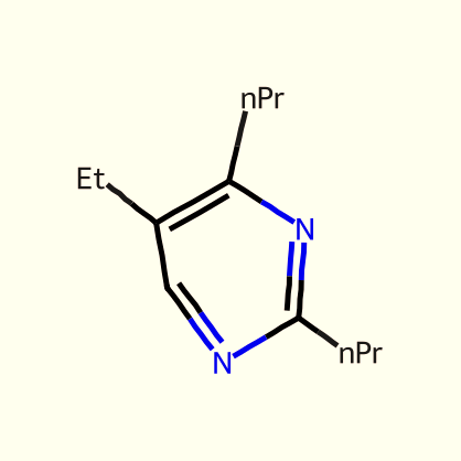 CCCc1ncc(CC)c(CCC)n1